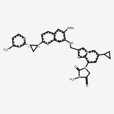 COc1cc2ccc([C@H]3C[C@@H]3c3nccc(C)n3)nc2cc1NCc1cn2cc(C3CC3)cc(N3CC(=O)N(C)C3=O)c2n1